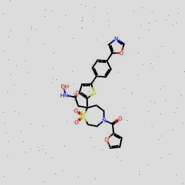 O=C(CC1(c2ccc(-c3ccc(-c4cnco4)cc3)s2)CCN(C(=O)c2ccco2)CCS1(=O)=O)NO